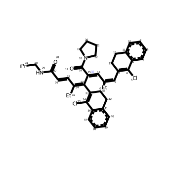 CCC(=CC1=C(Cl)c2ccccc2CC1)/C=C(/C(=O)N1CCCC1)C(=C(C=CC(=O)NCC(C)C)CC)C1=C(Cl)c2ccccc2CC1